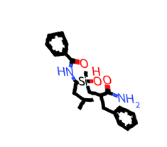 CC(C)CC(NC(=O)c1ccccc1)[Si](C)(O)CC(Cc1ccccc1)C(N)=O